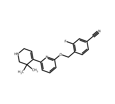 CC1(C)CNCC=C1c1cccc(OCc2ccc(C#N)cc2F)n1